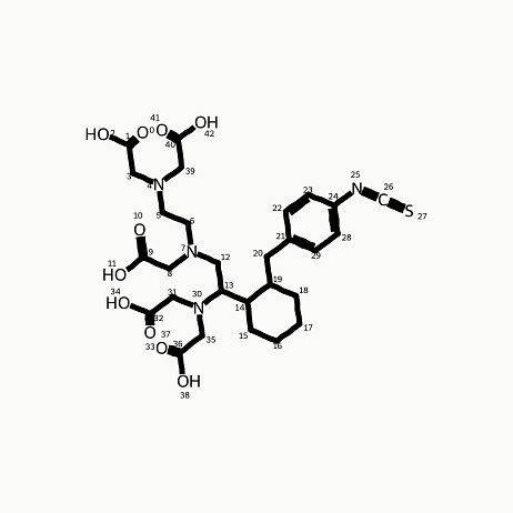 O=C(O)CN(CCN(CC(=O)O)CC(C1CCCCC1Cc1ccc(N=C=S)cc1)N(CC(=O)O)CC(=O)O)CC(=O)O